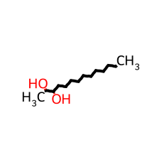 CCCCCCCCCCC[C@@H](O)[C@H](C)O